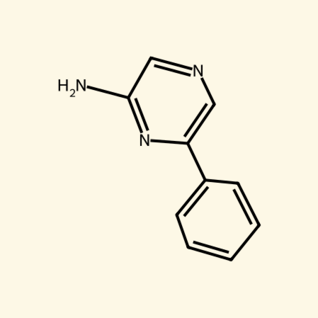 Nc1cncc(-c2ccccc2)n1